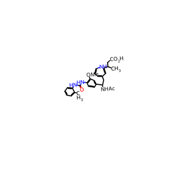 COc1cc(C(CC2=CC=CNC(C(C)CC(=O)O)=C2)NC(C)=O)ccc1NC(=O)Nc1ccccc1C